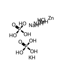 Cl.O=P(O)(O)O.O=P(O)(O)O.[KH].[NaH].[NaH].[NaH].[Zn]